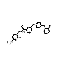 Cc1nc(N)ccc1CNC(=O)c1cncc(Cc2ccc(Cn3ccccc3=O)cc2)c1